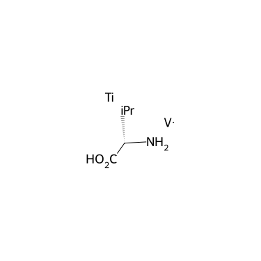 CC(C)[C@H](N)C(=O)O.[Ti].[V]